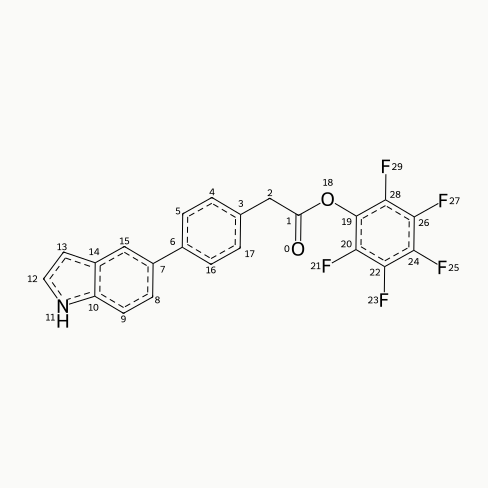 O=C(Cc1ccc(-c2ccc3[nH]ccc3c2)cc1)Oc1c(F)c(F)c(F)c(F)c1F